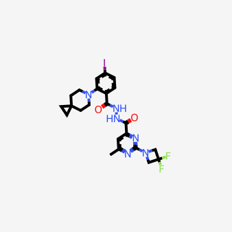 Cc1cc(C(=O)NNC(=O)c2ccc(I)cc2N2CCC3(CC2)CC3)nc(N2CC(F)(F)C2)n1